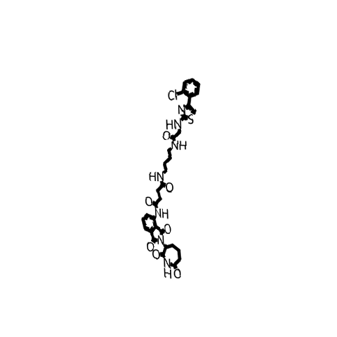 O=C(CCC(=O)Nc1cccc2c1C(=O)N(C1CCCC(=O)NC1=O)C2=O)NCCCCNC(=O)CNc1nc(-c2ccccc2Cl)cs1